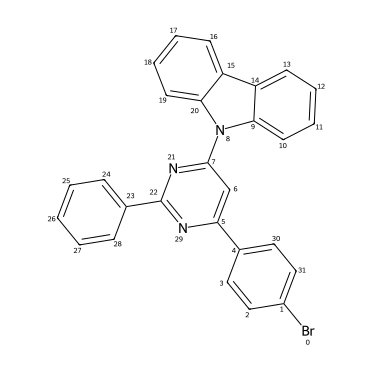 Brc1ccc(-c2cc(-n3c4ccccc4c4ccccc43)nc(-c3ccccc3)n2)cc1